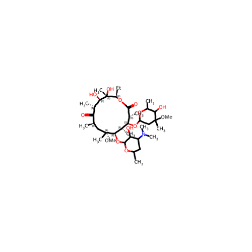 CC[C@H]1OC(=O)[C@H](C)[C@@H](OC2CC(C)(OC)C(O)C(C)O2)[C@H](C)[C@@H](OC2OC(C)CC(N(C)C)C2O)[C@](C)(OC)C[C@@H](C)C(=O)[C@H](C)[C@@H](O)[C@]1(C)O